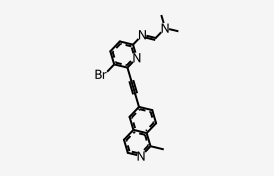 Cc1nccc2cc(C#Cc3nc(N=CN(C)C)ccc3Br)ccc12